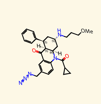 COCCCN[C@H]1C[C@H](c2ccccc2)[C@@H]2C(=O)c3cc(CN=[N+]=[N-])ccc3N(C(=O)C3CC3)[C@@H]2C1